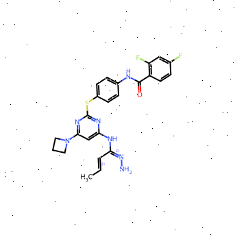 C/C=C/C(=N\N)Nc1cc(N2CCC2)nc(Sc2ccc(NC(=O)c3ccc(F)cc3F)cc2)n1